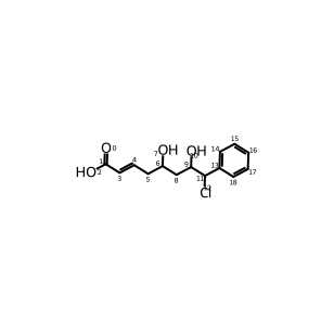 O=C(O)/C=C/CC(O)CC(O)C(Cl)c1ccccc1